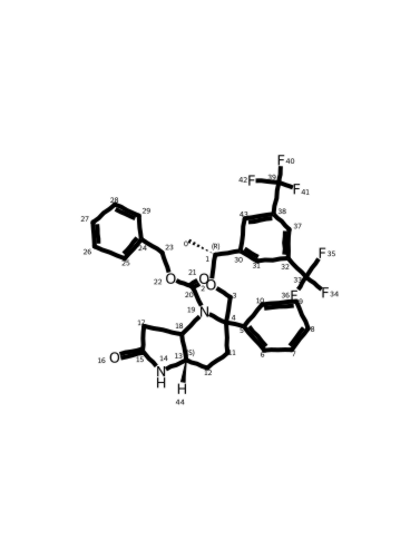 C[C@@H](OCC1(c2ccccc2)CC[C@@H]2NC(=O)CC2N1C(=O)OCc1ccccc1)c1cc(C(F)(F)F)cc(C(F)(F)F)c1